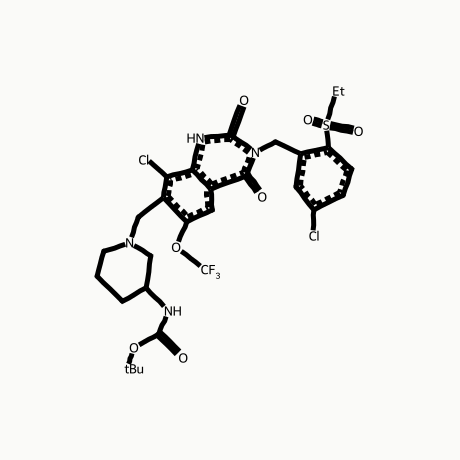 CCS(=O)(=O)c1ccc(Cl)cc1Cn1c(=O)[nH]c2c(Cl)c(CN3CCCC(NC(=O)OC(C)(C)C)C3)c(OC(F)(F)F)cc2c1=O